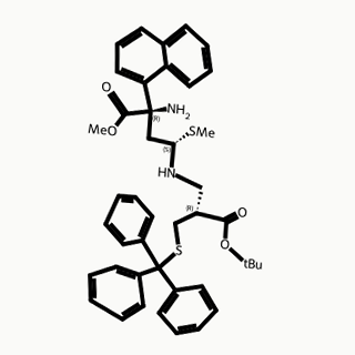 COC(=O)[C@@](N)(C[C@@H](NC[C@@H](CSC(c1ccccc1)(c1ccccc1)c1ccccc1)C(=O)OC(C)(C)C)SC)c1cccc2ccccc12